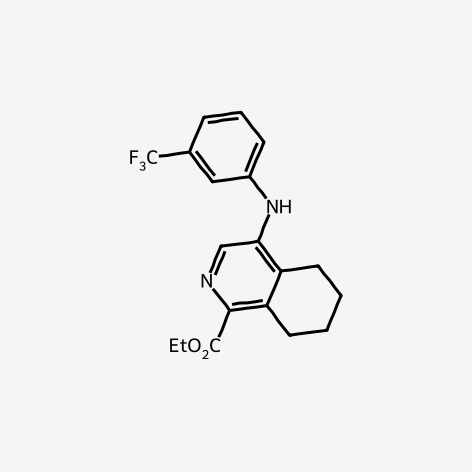 CCOC(=O)c1ncc(Nc2cccc(C(F)(F)F)c2)c2c1CCCC2